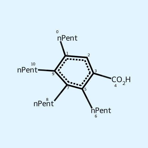 CCCCCc1cc(C(=O)O)c(CCCCC)c(CCCCC)c1CCCCC